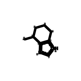 [CH2]C1CCCc2[nH]cnc21